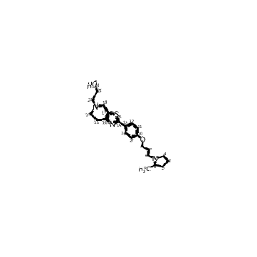 CC1CCCN1CCCOc1ccc(-c2nc3c(s2)CN(CCO)CC3)cc1